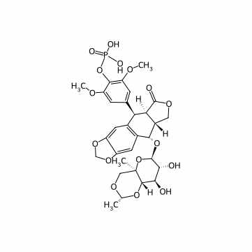 COc1cc([C@@H]2c3cc4c(cc3[C@@H](O[C@@H]3O[C@]5(C)CO[C@@H](C)O[C@H]5[C@H](O)[C@H]3O)[C@H]3COC(=O)[C@H]23)OCO4)cc(OC)c1OP(=O)(O)O